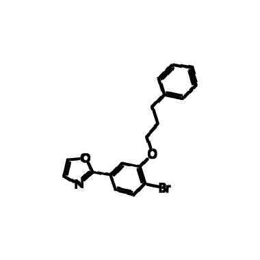 Brc1ccc(-c2ncco2)cc1OCCCc1ccccc1